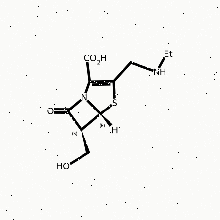 CCNCC1=C(C(=O)O)N2C(=O)[C@H](CO)[C@H]2S1